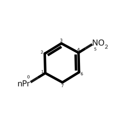 CCCC1C=CC([N+](=O)[O-])=CC1